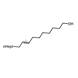 CCCCCCCC/C=C/CCCCCCCO